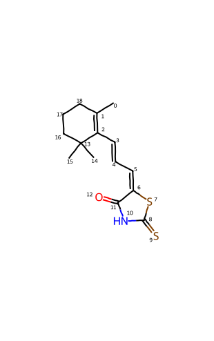 CC1=C(C=CC=C2SC(=S)NC2=O)C(C)(C)CCC1